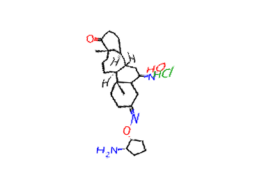 C[C@]12CCC(=NO[C@@H]3CCC[C@H]3N)CC1C(=NO)C[C@@H]1[C@@H]2CC[C@]2(C)C(=O)CC[C@@H]12.Cl